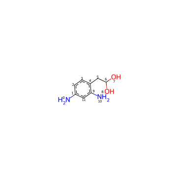 Nc1ccc(CC(O)O)c(N)c1